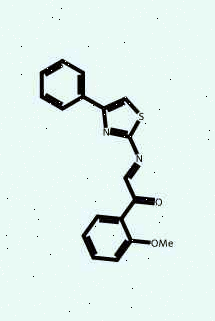 COc1ccccc1C(=O)C=Nc1nc(-c2ccccc2)cs1